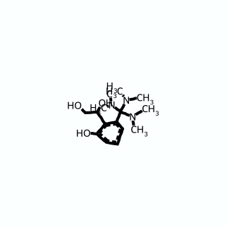 CN(C)C(c1cccc(O)c1C(O)CO)(N(C)C)N(C)C